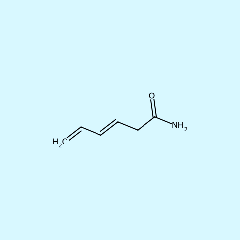 C=CC=CCC(N)=O